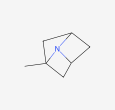 CC12CC3CC(C1)N32